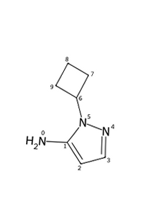 Nc1ccnn1C1CCC1